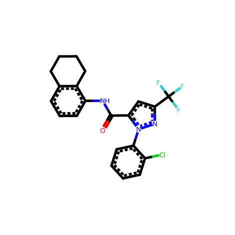 O=C(Nc1cccc2c1CCCC2)c1cc(C(F)(F)F)nn1-c1ccccc1Cl